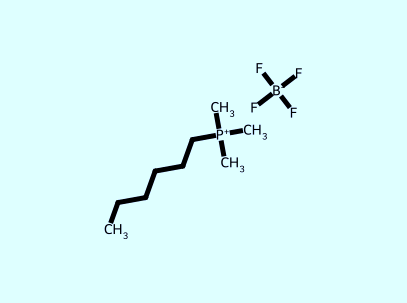 CCCCCC[P+](C)(C)C.F[B-](F)(F)F